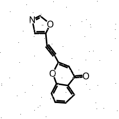 O=c1cc(C#Cc2cnco2)oc2ccccc12